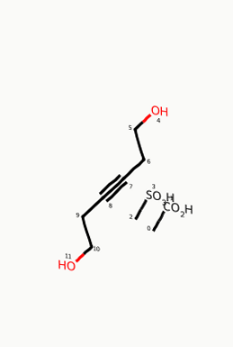 CC(=O)O.CS(=O)(=O)O.OCCC#CCCO